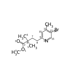 COC(=O)C(C)(C)CCc1cc(C)c(Br)cn1